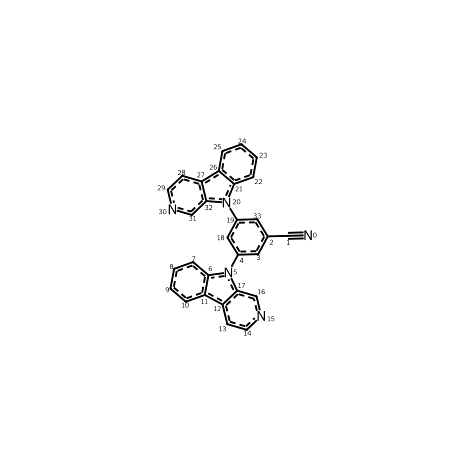 N#Cc1cc(-n2c3ccccc3c3ccncc32)cc(-n2c3ccccc3c3ccncc32)c1